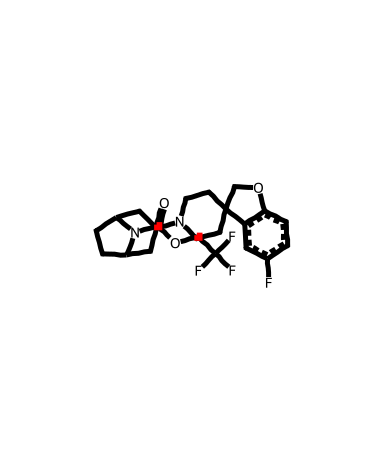 O=C(OCC(F)(F)F)N1C2CCC1CC(N1CCC3(CC1)COc1ccc(F)cc13)C2